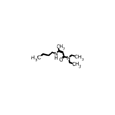 CCCCN/C(C)=C\C(=O)N(CC)CC